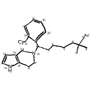 CC(=O)C(C)(C)CCCCC(c1ccccc1Cl)N1CCc2[nH]ccc2C1